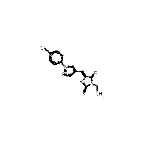 CCN1C(=O)/C(=C/c2cnn(-c3ccc(Cl)cc3)c2)SC1=S